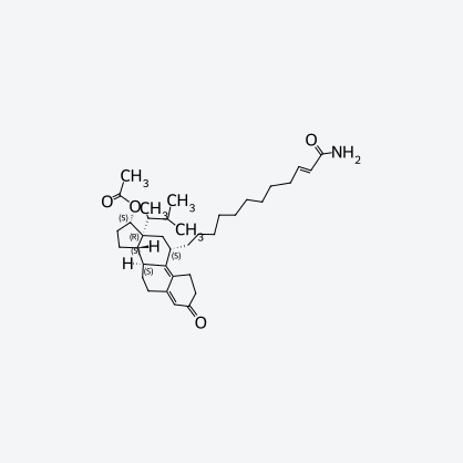 CC(=O)O[C@H]1CC[C@H]2[C@@H]3CCC4=CC(=O)CCC4=C3[C@@H](CCCCCCCCCC=CC(N)=O)C[C@]12C(C)C(C)C